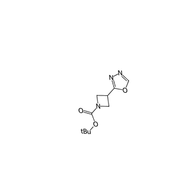 CC(C)(C)OC(=O)N1CC(c2nnco2)C1